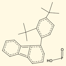 CC(C)(C)c1ccc(-c2cccc3c2=c2ccccc2=3)c(C(C)(C)C)c1.O=PO